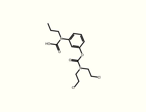 CCCN(C(=O)O)c1cccc(OC(=O)N(CCCl)CCCl)c1